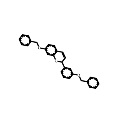 C1=CC(c2cccc(OCc3ccccc3)c2)Oc2cc(OCc3ccccc3)ccc21